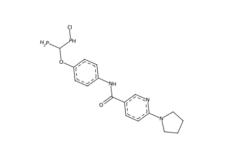 O=C(Nc1ccc(OC(P)PCl)cc1)c1ccc(N2CCCC2)nc1